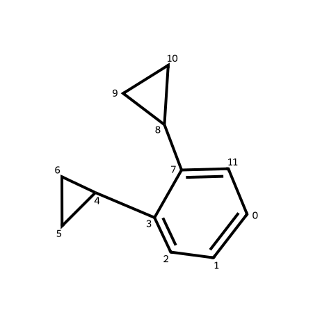 c1ccc(C2CC2)c(C2CC2)c1